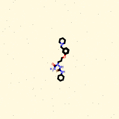 NC(=O)N(CCCOc1cccc(CN2CCCCC2)c1)NC(=S)NC1CCCCC1